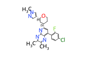 Cc1nc2nc([C@H]3CCO[C@@H](c4cnn(C)c4)C3)cc(-c3ccc(Cl)cc3F)c2nc1C